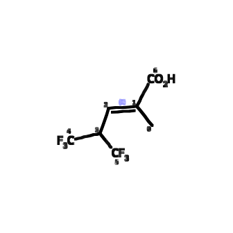 C/C(=C\C(C(F)(F)F)C(F)(F)F)C(=O)O